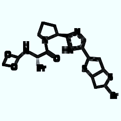 CC(C)[C@H](NC1OCO1)C(=O)N1CCC[C@H]1c1ncc(C2=CC3SC(Br)CC3S2)[nH]1